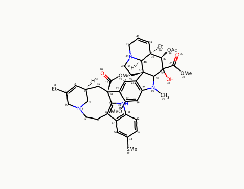 CCC1=C[C@@H]2CN(CCc3c([nH]c4ccc(SC)cc34)[C@@](C(=O)OC)(c3cc4c(cc3OC)N(C)C3C(O)(C(=O)OC)[C@H](OC(C)=O)[C@]5(CC)C=CCN6CC[C@]43[C@@H]65)C2)C1